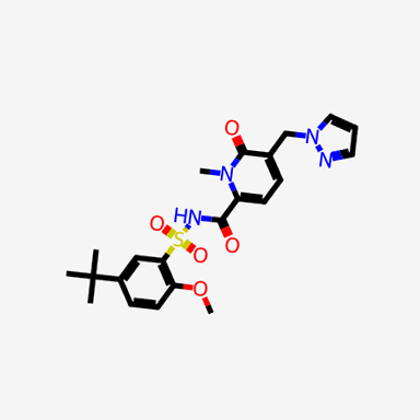 COc1ccc(C(C)(C)C)cc1S(=O)(=O)NC(=O)c1ccc(Cn2cccn2)c(=O)n1C